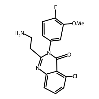 COc1cc(-n2c(CCN)nc3cccc(Cl)c3c2=O)ccc1F